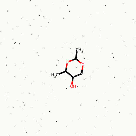 CC1OCC(O)C(C)O1